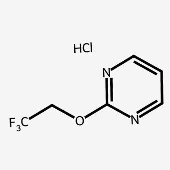 Cl.FC(F)(F)COc1ncccn1